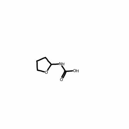 O=C(O)NC1CCCO1